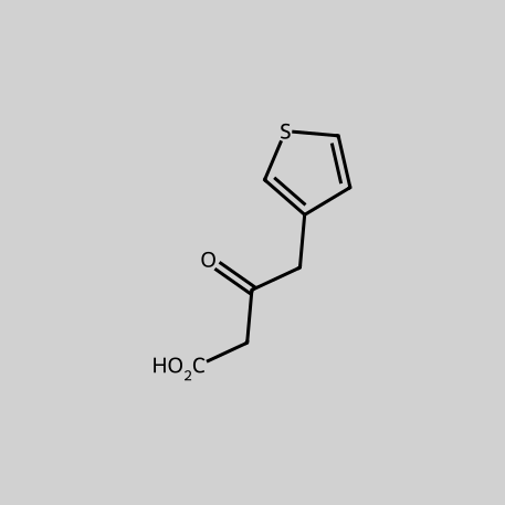 O=C(O)CC(=O)Cc1ccsc1